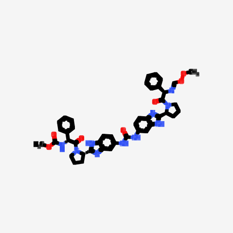 COO/C=N/[C@@H](C(=O)N1CCC[C@H]1c1nc2ccc(NC(=O)Nc3ccc4[nH]c([C@@H]5CCCN5C(=O)[C@H](NC(=O)OC)c5ccccc5)nc4c3)cc2[nH]1)c1ccccc1